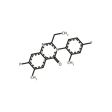 CCc1nc2cc(F)c(C)cc2c(=O)n1-c1ccc(F)cc1C